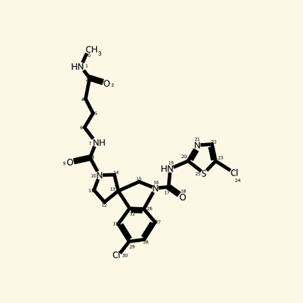 CNC(=O)CCCNC(=O)N1CCC2(C1)CN(C(=O)Nc1ncc(Cl)s1)c1ccc(Cl)cc12